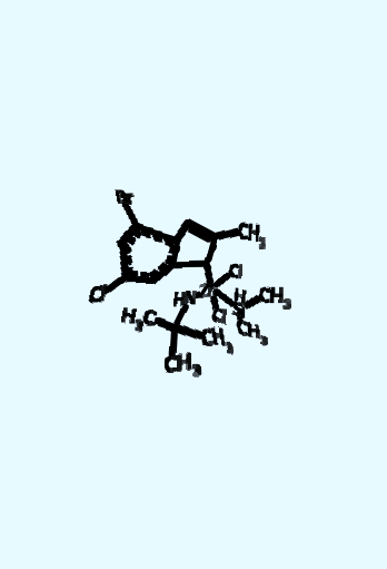 CC1=Cc2c(Br)cc(Cl)cc2[CH]1[Zr]([Cl])([Cl])([NH]C(C)(C)C)[SiH](C)C